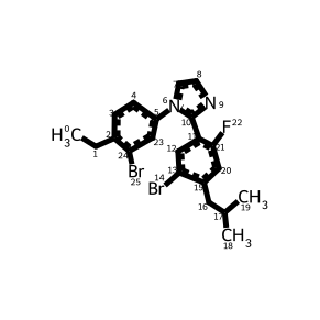 CCc1ccc(-n2ccnc2-c2cc(Br)c(CC(C)C)cc2F)cc1Br